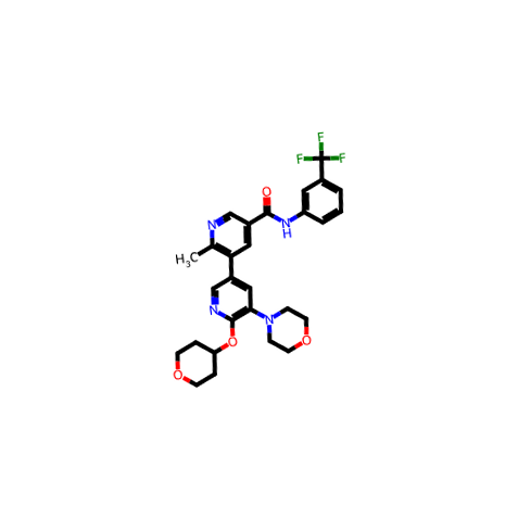 Cc1ncc(C(=O)Nc2cccc(C(F)(F)F)c2)cc1-c1cnc(OC2CCOCC2)c(N2CCOCC2)c1